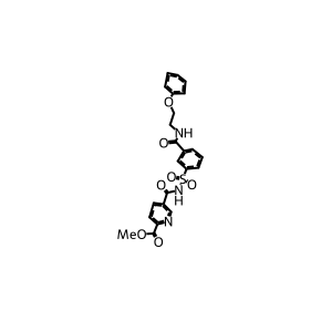 COC(=O)c1ccc(C(=O)NS(=O)(=O)c2cccc(C(=O)NCCOc3ccccc3)c2)cn1